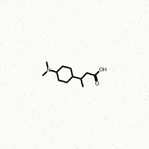 CC(CC(=O)O)C1CCC(N(C)C)CC1